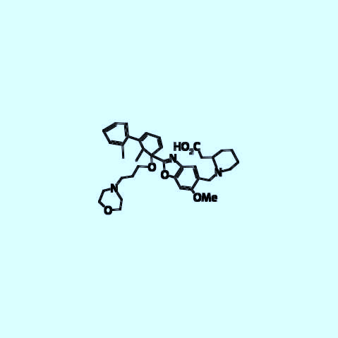 COc1cc2oc(C3(OCCCN4CCOCC4)C=CC=C(c4ccccc4C)C3C)nc2cc1CN1CCCCC1CC(=O)O